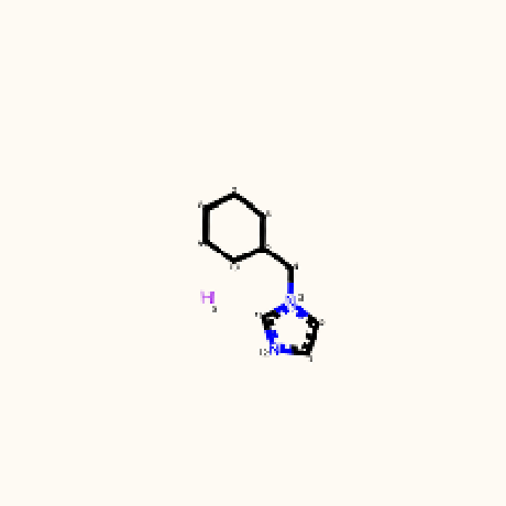 I.c1cn(CC2CCCCC2)cn1